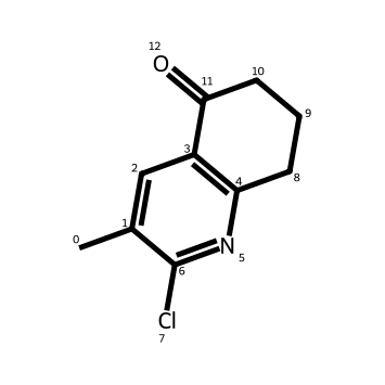 Cc1cc2c(nc1Cl)CCCC2=O